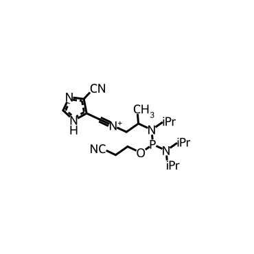 CC(C)N(C(C)C)P(OCCC#N)N(C(C)C)C(C)C[N+]#Cc1[nH]cnc1C#N